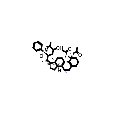 CC(=O)OC1(OC(C)=O)CCCC(/C=C\C2=CCC[C@]3(C)[C@@H]([C@H](C)C(CC(O)C(C)C)S(=O)(=O)c4ccccc4)CC[C@@H]23)=C1C